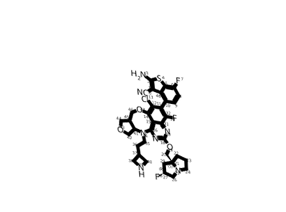 N#Cc1c(N)sc2c(F)ccc(-c3c(Cl)c4c5c(nc(OC[C@@]67CCCN6C[C@H](F)C7)nc5c3F)N(CCC3CNC3)C3COCC3CO4)c12